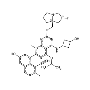 C#Cc1c(F)ccc2cc(O)cc(-c3nc(OC(C)C)c4c(NC5CC(O)C5)nc(OC[C@@]56CCCN5C[C@H](F)C6)nc4c3F)c12